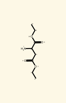 CCOC(=O)CC(N)C(=O)OCC